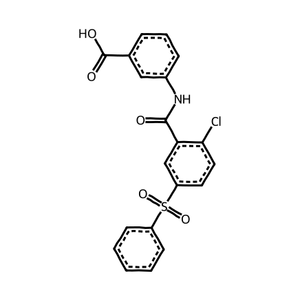 O=C(O)c1cccc(NC(=O)c2cc(S(=O)(=O)c3ccccc3)ccc2Cl)c1